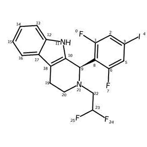 Fc1cc(I)cc(F)c1[C@@H]1c2[nH]c3ccccc3c2CCN1CC(F)F